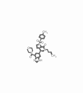 C=CCCn1cc(-c2cc(C(=O)N3CCOCC3)c3nc[nH]c3c2)c2ccn(S(=O)(=O)c3ccc(C)cc3)c2c1=O